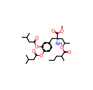 CCCC(C)C(=O)OC(C)C[C@@](N)(Cc1ccc(OC(=O)CC(C)C)c(OC(=O)CC(C)C)c1)C(=O)OC